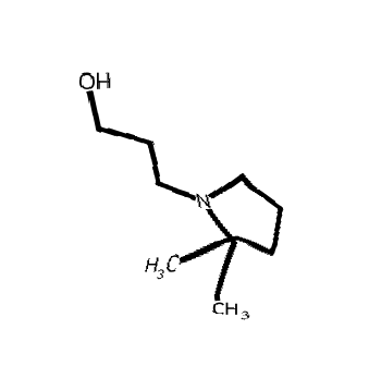 CC1(C)CCCN1CCCO